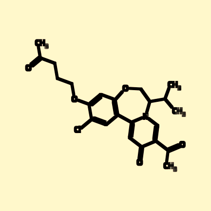 CC(=O)CCCOc1cc2c(cc1Cl)-c1cc(=O)c(C(C)=O)cn1C(C(C)C)CO2